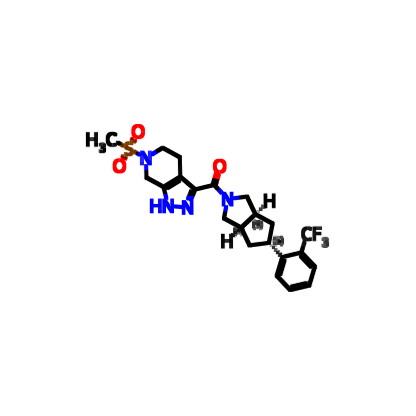 CS(=O)(=O)N1CCc2c(C(=O)N3C[C@H]4C[C@H](c5ccccc5C(F)(F)F)C[C@H]4C3)n[nH]c2C1